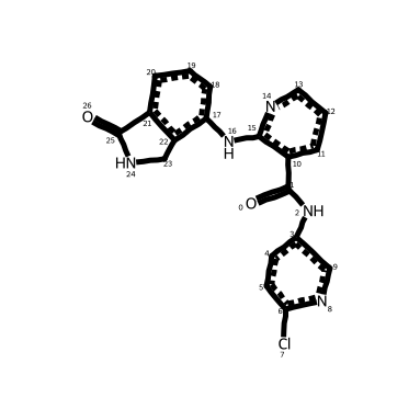 O=C(Nc1ccc(Cl)nc1)c1cccnc1Nc1cccc2c1CNC2=O